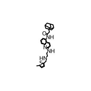 Cc1ccc(CNCCNc2ccc3c(NC(=O)CC45CC6CC(CC(C6)C4)C5)cccc3n2)s1